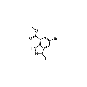 COC(=O)c1cc(Br)cc2c(I)n[nH]c12